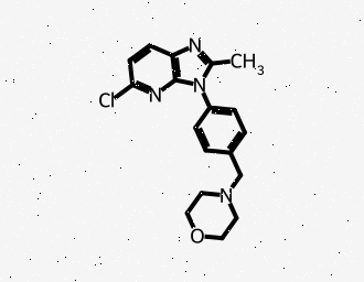 Cc1nc2ccc(Cl)nc2n1-c1ccc(CN2CCOCC2)cc1